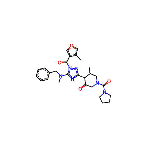 Cc1cocc1C(=O)n1nc(C2C(=O)CN(C(=O)N3CCCC3)CC2C)nc1N(C)Cc1ccccc1